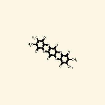 Cc1c(C)c(=O)c2nc3c(=O)c4nc5c(=O)c(C)c(C)c(=O)c5nc4c(=O)c3nc2c1=O